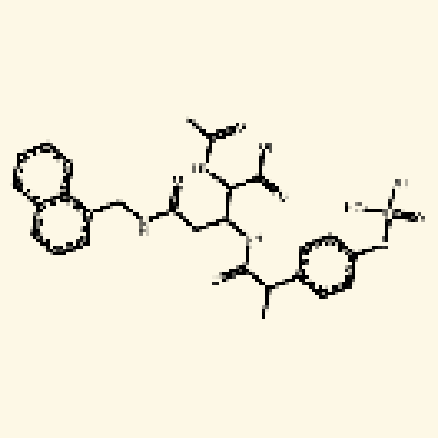 CC(=O)NC(C(=O)O)C(CC(=O)NCc1cccc2ccccc12)NC(=O)C(C)c1ccc(OP(=O)(O)O)cc1